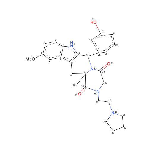 COc1ccc2[nH]c3c(c2c1)CC1(C)C(=O)N(CCN2CCCC2)CC(=O)N1C3c1cccc(O)c1